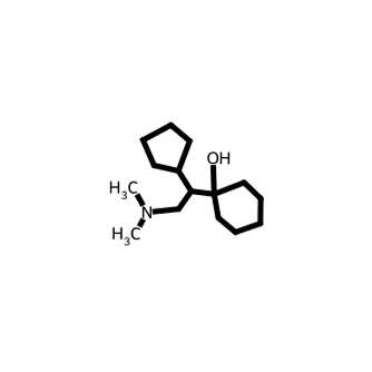 CN(C)CC(C1CCCC1)C1(O)CCCCC1